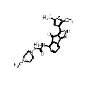 Cc1cc(-c2[nH]nc3c2C(=O)c2c(NC(=O)NN4CCN(C)CC4)cccc2-3)c(C)s1